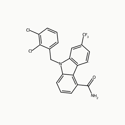 NC(=O)c1cccc2c1c1[c]cc(C(F)(F)F)cc1n2Cc1cccc(Cl)c1Cl